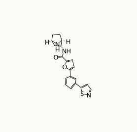 O=C(N[C@@H]1C[C@H]2CC[C@@H]1N2)c1ccc(-c2cccc(-c3ccns3)c2)o1